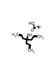 C=CCC(N)(CC=C)CC=C.O=[N+]([O-])O